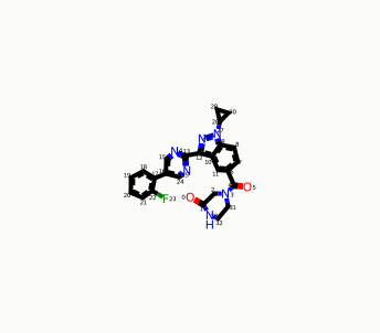 O=C1CN(C(=O)c2ccc3c(c2)c(-c2ncc(-c4ccccc4F)cn2)nn3C2CC2)CCN1